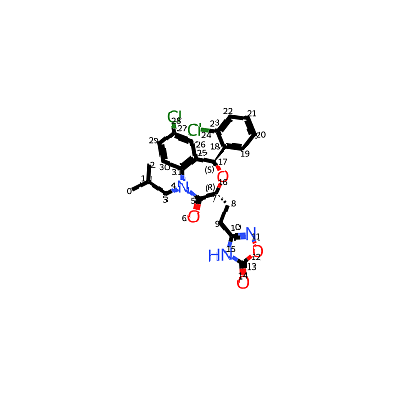 CC(C)CN1C(=O)[C@@H](CCc2noc(=O)[nH]2)O[C@H](c2ccccc2Cl)c2cc(Cl)ccc21